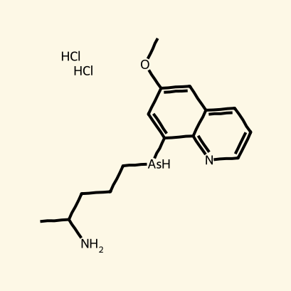 COc1cc([AsH]CCCC(C)N)c2ncccc2c1.Cl.Cl